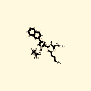 CC(=O)CCCCC[C@H](NC(=O)OC(C)(C)C)c1nc(-c2ccc3ccccc3c2)cn1C.O=C(O)C(F)(F)F